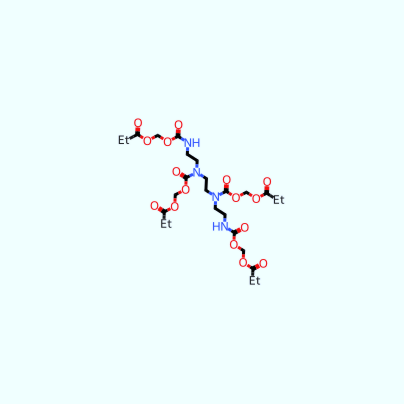 CCC(=O)OCOC(=O)NCCN(CCN(CCNC(=O)OCOC(=O)CC)C(=O)OCOC(=O)CC)C(=O)OCOC(=O)CC